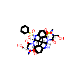 CN1C(=O)[C@@]23C[C@]4([C@]56C[C@@]78SS[C@@](CO)(C(=O)N7[C@H]5N(S(=O)(=O)c5ccccc5)c5ccccc56)N(C)C8=O)c5ccccc5N[C@@H]4N2C(=O)[C@]1(CO)SS3